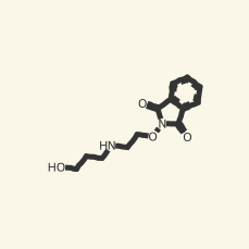 O=C1c2ccccc2C(=O)N1OCCNCCCO